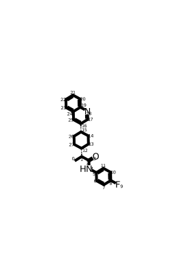 CC(C(=O)Nc1ccc(F)cc1)[C@H]1CC[C@@H](c2cnc3ccccc3c2)CC1